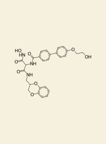 O=C(NC(C(=O)NO)C(=O)NCC1COc2ccccc2O1)c1ccc(-c2ccc(OCCO)cc2)cc1